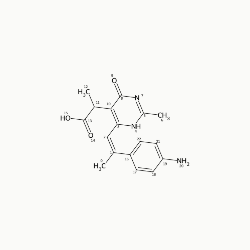 CC(=Cc1[nH]c(C)nc(=O)c1C(C)C(=O)O)c1ccc(N)cc1